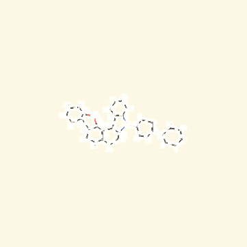 c1ccc(-c2ccc(-n3c4ccccc4c4c5c(ccc6c7ccccc7oc65)ccc43)cc2)cc1